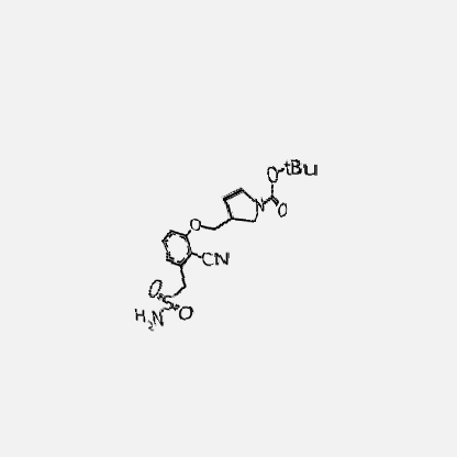 CC(C)(C)OC(=O)N1CCC(COc2cccc(CS(N)(=O)=O)c2C#N)C1